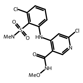 CNS(=O)(=O)c1c(Cl)cccc1Nc1cc(Cl)ncc1C(=O)NOC